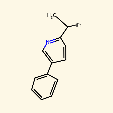 CC(C)C(C)c1ccc(-c2ccccc2)cn1